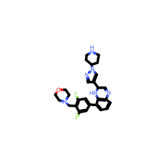 Fc1cc(-c2cccc3c2NC(c2cnn(C4CCNCC4)c2)C=N3)cc(F)c1CN1CCOCC1